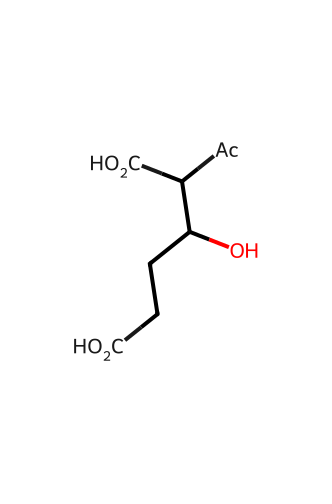 CC(=O)C(C(=O)O)C(O)CCC(=O)O